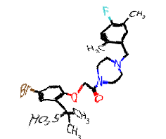 Cc1cc(CN2CCN(C(=O)COc3ccc(Br)cc3C(C)(C)S(=O)(=O)O)CC2)c(C)cc1F